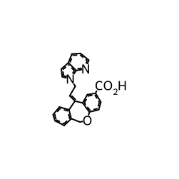 O=C(O)c1ccc2c(c1)C(=CCn1ccc3cccnc31)c1ccccc1CO2